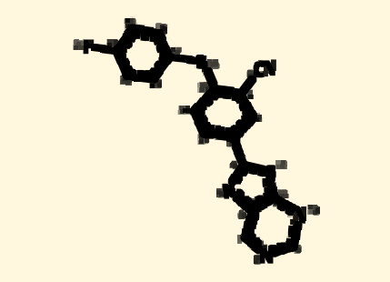 N#Cc1cc(-c2nc3cncnc3s2)ccc1Sc1ccc(F)cc1